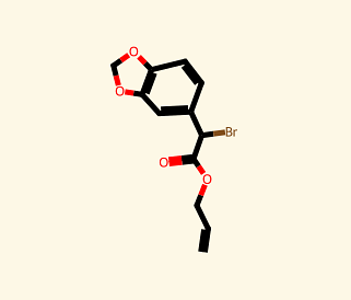 C=CCOC(=O)C(Br)c1ccc2c(c1)OCO2